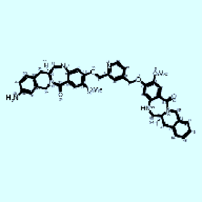 COc1cc2c(cc1OCc1ccnc(COc3cc4c(cc3OC)C(=O)N3Cc5cc(N)ccc5C[C@H]3C=N4)c1)NC[C@@H]1Cc3ccccc3CN1C2=O